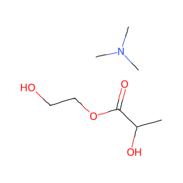 CC(O)C(=O)OCCO.CN(C)C